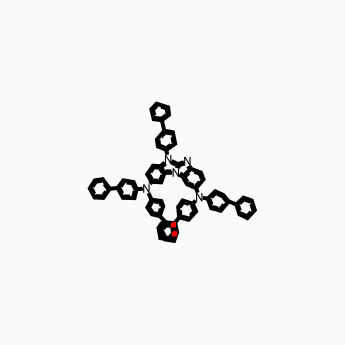 c1ccc(-c2ccc(N(c3ccc(-c4ccccc4)cc3)c3ccc4nc5n(-c6ccc(-c7ccccc7)cc6)c6ccc(N(c7ccc(-c8ccccc8)cc7)c7ccc(-c8ccccc8)cc7)cc6n5c4c3)cc2)cc1